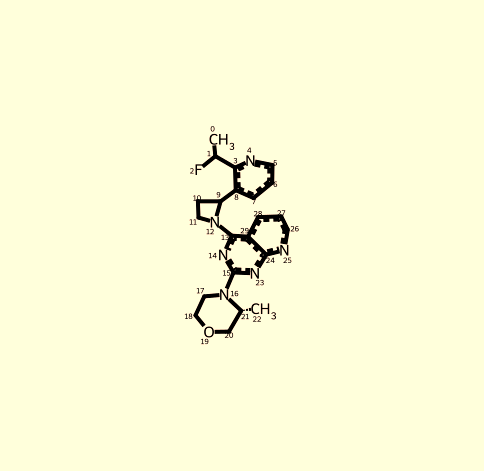 CC(F)c1ncccc1C1CCN1c1nc(N2CCOC[C@H]2C)nc2ncccc12